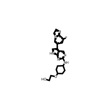 OCCOC1CCC(Nc2ncc3c(-c4cc(F)c5nccn5c4)c[nH]c3n2)CC1